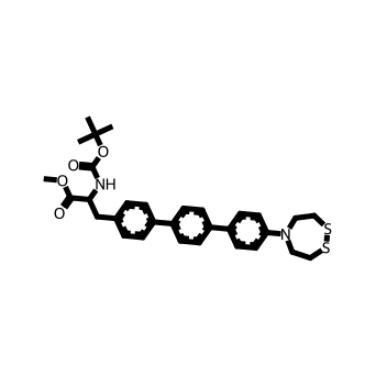 COC(=O)C(Cc1ccc(-c2ccc(-c3ccc(N4CCSSCC4)cc3)cc2)cc1)NC(=O)OC(C)(C)C